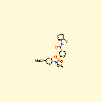 COc1ccc(N(C)S(=O)(=O)c2cccc(C(=O)N3CCc4ccccc43)c2)cc1